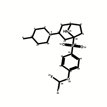 CC1CCN(C2CC3CCC(S(=O)(=O)c4ccc(OC(F)F)cc4)(C2)N3)CC1